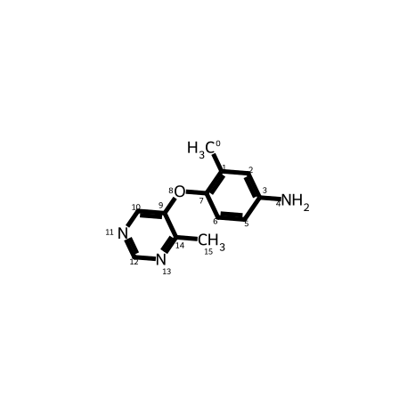 Cc1cc(N)ccc1Oc1cncnc1C